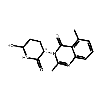 Cc1cccc2nc(C)n([C@H]3CCC(O)NC3=O)c(=O)c12